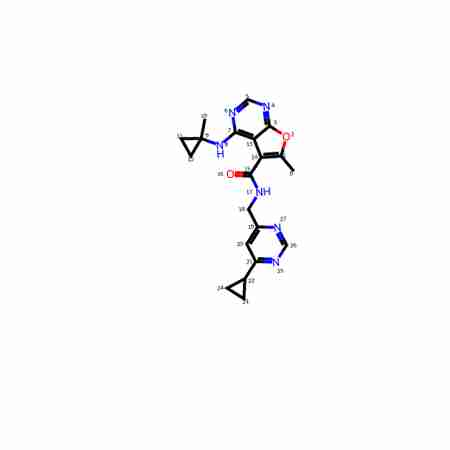 Cc1oc2ncnc(NC3(C)CC3)c2c1C(=O)NCc1cc(C2CC2)ncn1